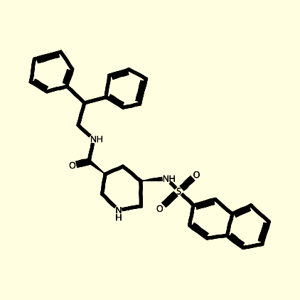 O=C(NCC(c1ccccc1)c1ccccc1)[C@@H]1CNC[C@H](NS(=O)(=O)c2ccc3ccccc3c2)C1